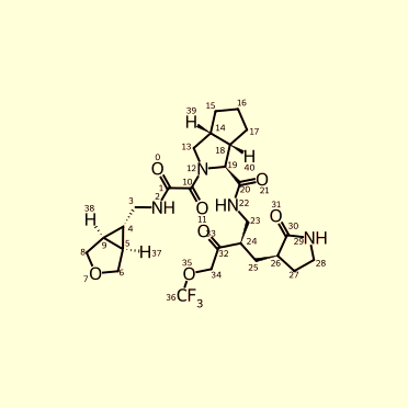 O=C(NC[C@@H]1[C@H]2COC[C@@H]12)C(=O)N1C[C@@H]2CCC[C@@H]2[C@H]1C(=O)NC[C@@H](C[C@@H]1CCNC1=O)C(=O)COC(F)(F)F